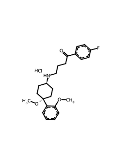 COc1ccccc1[C@]1(OC)CC[C@H](NCCCC(=O)c2ccc(F)cc2)CC1.Cl